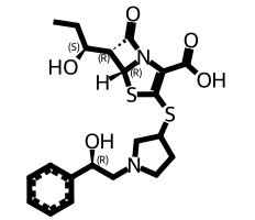 CC[C@H](O)[C@@H]1C(=O)N2C(C(=O)O)=C(SC3CCN(C[C@H](O)c4ccccc4)C3)S[C@H]12